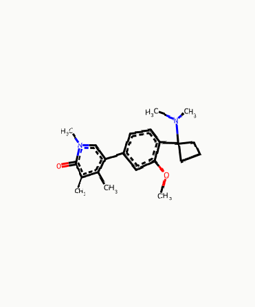 COc1cc(-c2cn(C)c(=O)c(C)c2C)ccc1C1(N(C)C)CCC1